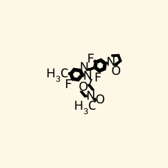 CC(=O)N1CCO[C@@H](Cn2c(-c3c(F)cc(N4CCCC4=O)cc3F)nc3cc(C)c(F)cc32)C1